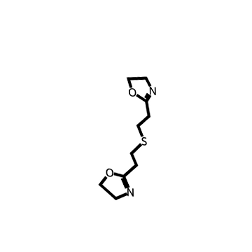 C1COC(CCSCCC2=NCCO2)=N1